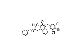 Cc1c(CCOCc2ccccc2)c2ccccc2n(Cc2cc(Cl)c(Br)c(Cl)c2)c1=O